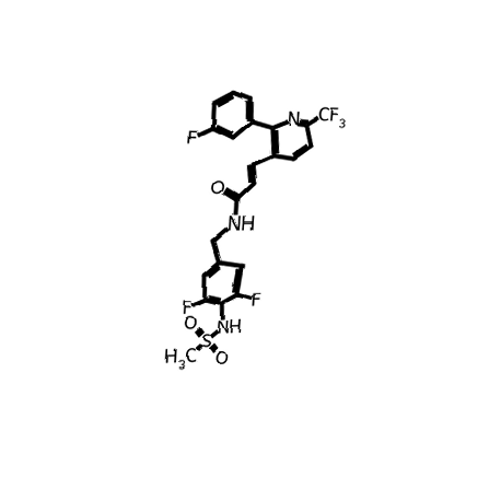 CS(=O)(=O)Nc1c(F)cc(CNC(=O)C=Cc2ccc(C(F)(F)F)nc2-c2cccc(F)c2)cc1F